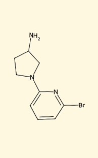 NC1CCN(c2cccc(Br)n2)C1